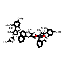 C=C(/C=C\C(=C/C)OCCOc1ccc([C@@]23Oc4cc(OC)cc(OC)c4[C@]2(O)[C@H](O)[C@H](c2nnc(O)o2)[C@H]3c2ccccc2)cc1)[C@@]12Oc3cc(OC)cc(OC)c3[C@]1(O)[C@H](O)[C@H](c1nnc(NCCC)o1)[C@H]2c1ccccc1